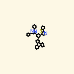 c1ccc(-c2cc(-c3cc(-c4ccc5c6ccccc6c6ccccc6c5c4)cc(-c4ccnc5c4sc4ccccc45)c3)nc(-c3ccccc3)n2)cc1